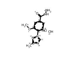 COc1cc(C(=O)NN)ccc1-n1cnc(C)n1.Cl.Cl